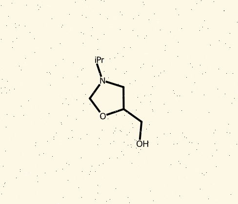 CC(C)N1COC(CO)C1